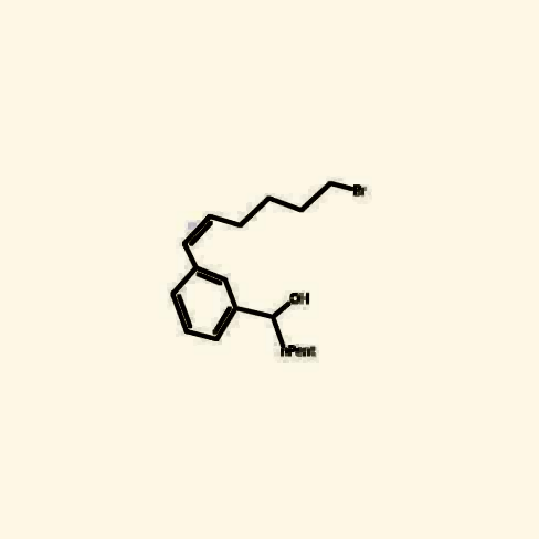 CCCCCC(O)c1cccc(/C=C\CCCCBr)c1